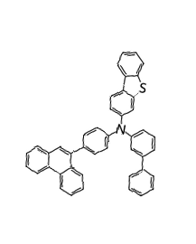 c1ccc(-c2cccc(N(c3ccc(-c4cc5ccccc5c5ccccc45)cc3)c3ccc4c(c3)sc3ccccc34)c2)cc1